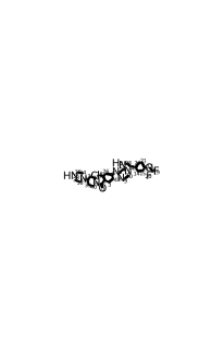 O=C(c1ccc(Nc2nccn3c(-c4ccc(OC(F)F)cc4)cnc23)cc1Cl)N1CCC(N2CCNCC2)CC1